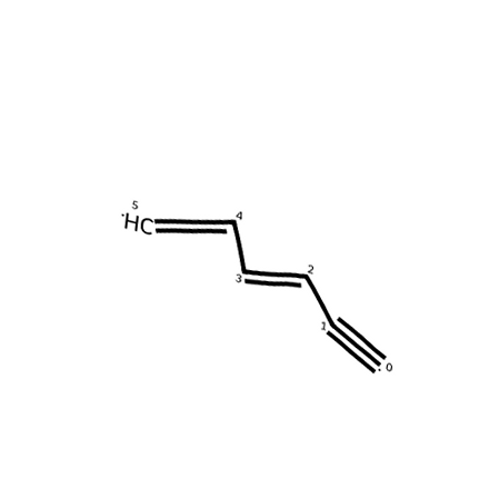 [C]#CC=CC=[CH]